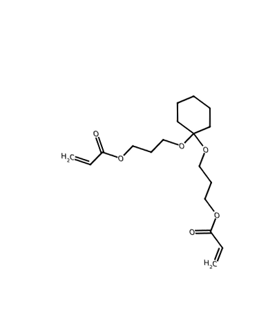 C=CC(=O)OCCCOC1(OCCCOC(=O)C=C)CCCCC1